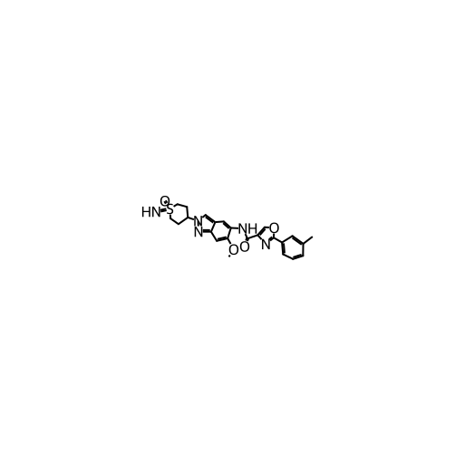 COc1cc2nn(C3CCS(=N)(=O)CC3)cc2cc1NC(=O)c1coc(-c2cccc(C)c2)n1